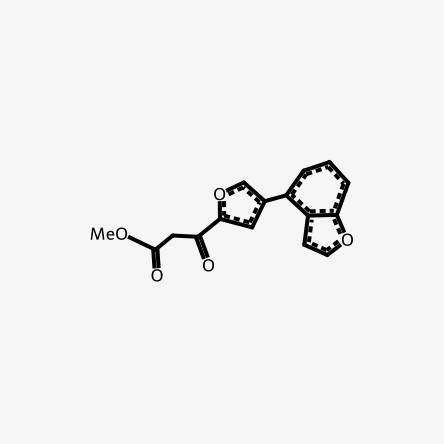 COC(=O)CC(=O)c1cc(-c2cccc3occc23)co1